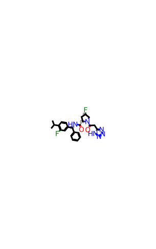 CC(C)c1ccc([C@H](NC(=O)[C@@H]2C[C@@H](F)CN2C(=O)Cc2nnn[nH]2)c2ccccc2)cc1F